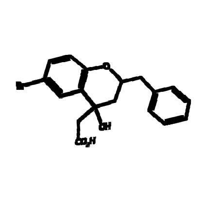 O=C(O)CC1(O)CC(Cc2ccccc2)Oc2ccc(Br)cc21